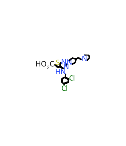 O=C(O)c1cc2c(NCc3ccc(Cl)cc3Cl)nc(N3CCC(CCN4CCCC4)CC3)nc2s1